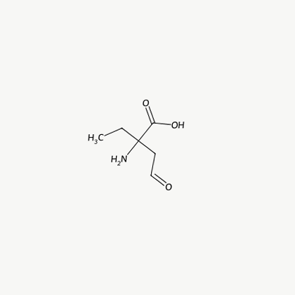 CCC(N)(CC=O)C(=O)O